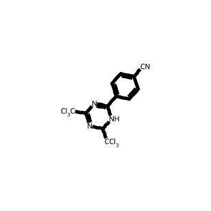 N#Cc1ccc(C2=NC(C(Cl)(Cl)Cl)=NC(C(Cl)(Cl)Cl)N2)cc1